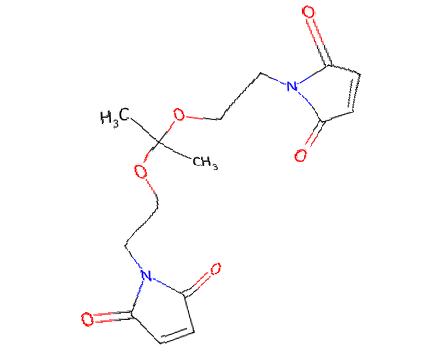 CC(C)(OCCN1C(=O)C=CC1=O)OCCN1C(=O)C=CC1=O